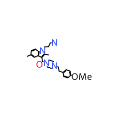 COc1ccc(CCN2CCN(C(=O)c3c(C)n(CCCN(C)C)c4ccc(C)cc34)CC2)cc1